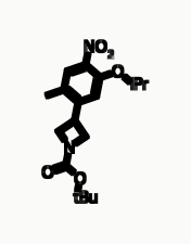 Cc1cc([N+](=O)[O-])c(OC(C)C)cc1C1CN(C(=O)OC(C)(C)C)C1